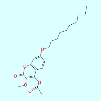 CCCCCCCCCCOc1ccc2c(OC(C)=O)c(OC)c(=O)oc2c1